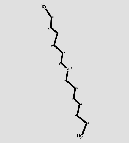 OCCCCCC[P]CCCCCCO